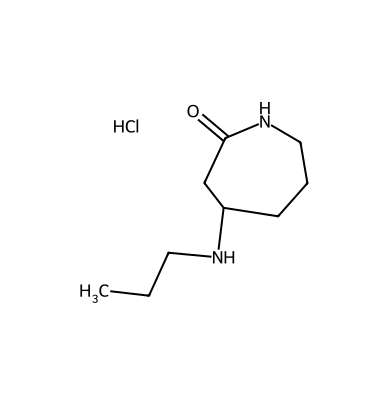 CCCNC1CCCNC(=O)C1.Cl